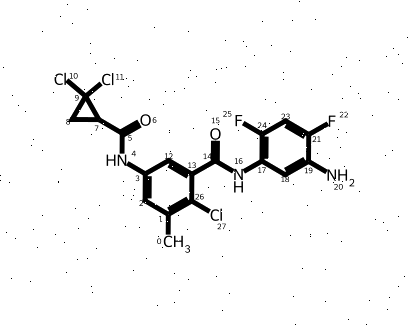 Cc1cc(NC(=O)C2CC2(Cl)Cl)cc(C(=O)Nc2cc(N)c(F)cc2F)c1Cl